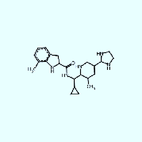 Cc1cccc2c1NC(C(=O)NC(C1CC1)C1NCC(C3NCCN3)CC1C)C2